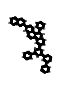 c1ccc(-c2cccc(-c3cc(-c4ccc5nc(-c6ccccc6)c6c7ccc(-c8ccc9ccccc9c8)nc7ccc6c5c4)nc(-c4ccccc4)n3)c2)cc1